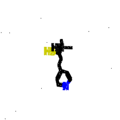 C[SiH](C)C(S)CCc1ccncc1